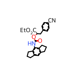 CCOC(=O)[C@@H](Cc1ccc(C#N)cc1)OC(=O)Nc1c2c(cc3c1CCC3)CCC2